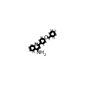 Nc1cc(-c2ccc(OCc3ccccc3)cc2)nc2ccccc12